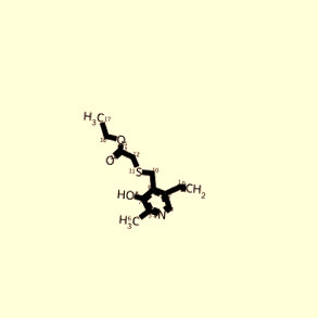 C=Cc1cnc(C)c(O)c1CSCC(=O)OCC